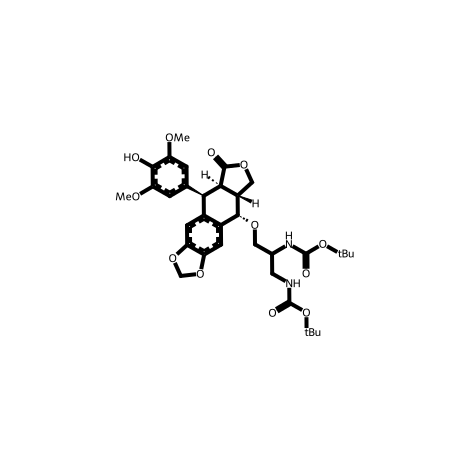 COc1cc([C@@H]2c3cc4c(cc3[C@@H](OCC(CNC(=O)OC(C)(C)C)NC(=O)OC(C)(C)C)[C@H]3COC(=O)[C@H]23)OCO4)cc(OC)c1O